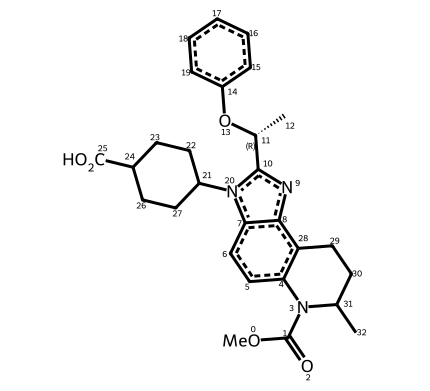 COC(=O)N1c2ccc3c(nc([C@@H](C)Oc4ccccc4)n3C3CCC(C(=O)O)CC3)c2CCC1C